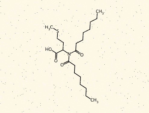 CCCCCCCC(=O)N(C(=O)CCCCCCC)C(CCSC)C(=O)O